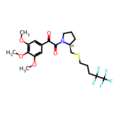 COc1cc(C(=O)C(=O)N2CCC[C@H]2CSCCCC(F)(F)C(F)(F)F)cc(OC)c1OC